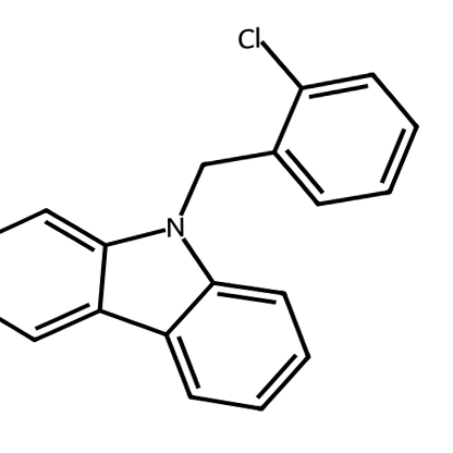 Clc1ccccc1Cn1c2ccccc2c2ccccc21